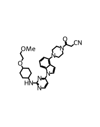 COCCOC1CCC(Nc2nccc(-n3ccc4c(N5CCN(C(=O)CC#N)CC5)cccc43)n2)CC1